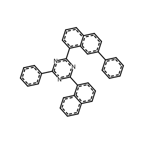 c1ccc(-c2ccc3cccc(-c4nc(-c5ccccc5)nc(-c5cccc6ccccc56)n4)c3c2)cc1